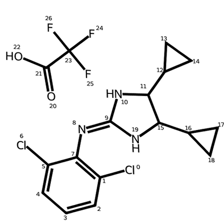 Clc1cccc(Cl)c1N=C1NC(C2CC2)C(C2CC2)N1.O=C(O)C(F)(F)F